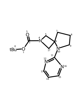 CC(C)(C)OC(=O)N1CC2(CCCN2c2ncccn2)C1